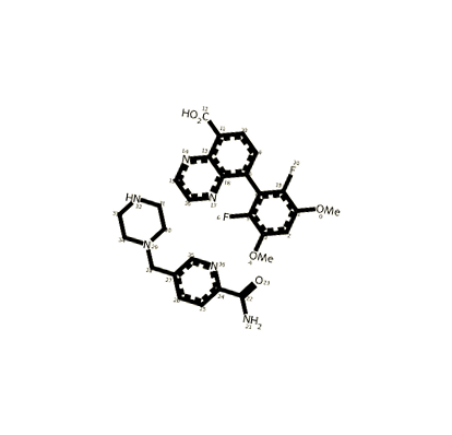 COc1cc(OC)c(F)c(-c2ccc(C(=O)O)c3nccnc23)c1F.NC(=O)c1ccc(CN2CCNCC2)cn1